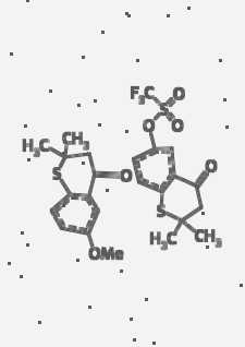 CC1(C)CC(=O)c2cc(OS(=O)(=O)C(F)(F)F)ccc2S1.COc1ccc2c(c1)C(=O)CC(C)(C)S2